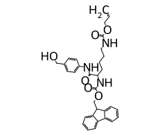 C=CCOC(=O)NCCCCC(NC(=O)OCC1c2ccccc2-c2ccccc21)C(=O)Nc1ccc(CO)cc1